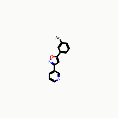 CC(=O)c1cccc(-c2cc(-c3cccnc3)no2)c1